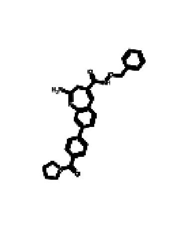 NC1=Nc2cc(-c3ccc(C(=O)N4CCCC4)cc3)ccc2C=C(C(=O)NOCc2ccccc2)C1